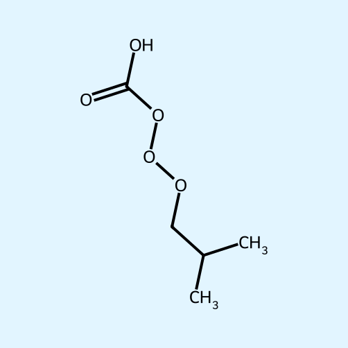 CC(C)COOOC(=O)O